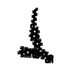 CCCCCCCOc1ccc2nc(-c3ccc(C[C@H](NC(=O)c4ccc(C(C)(C)C)cc4)C(=O)N4CC[C@H](C(=O)O)C4)cc3)ccc2c1